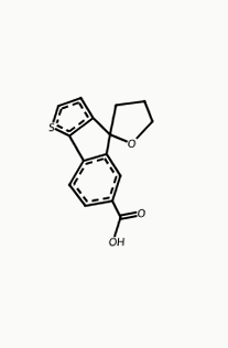 O=C(O)c1ccc2c(c1)C1(CCCO1)c1ccsc1-2